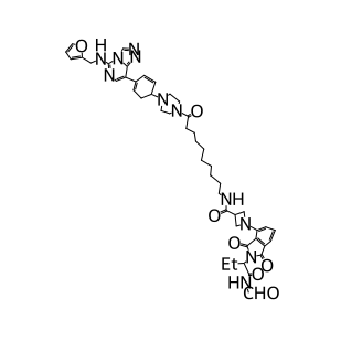 CCC(C(=O)NC=O)N1C(=O)c2cccc(N3CC(C(=O)NCCCCCCCCCC(=O)N4CCN(C5C=CC(c6cnc(NCc7ccco7)n7cnnc67)=CC5)CC4)C3)c2C1=O